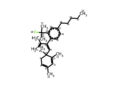 C=C(C)/C(=C\C1(C)CC=C(C)C=C1C)c1ccc(CCCCC)cc1C(C)(C)F